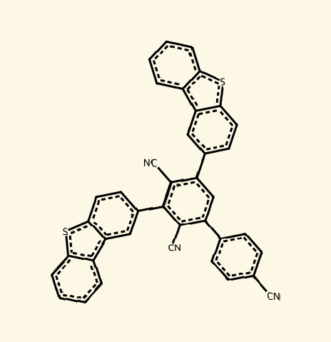 N#Cc1ccc(-c2cc(-c3ccc4sc5ccccc5c4c3)c(C#N)c(-c3ccc4sc5ccccc5c4c3)c2C#N)cc1